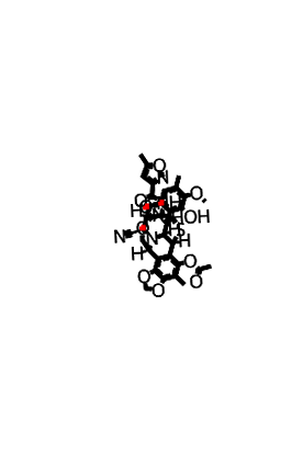 COc1c(C)cc2c(c1O)[C@@H]1[C@@H]3[C@@H]4SCC(NC(=O)c5cc(C)on5)C(=O)OC[C@@H](c5c6c(c(C)c(OC(C)=O)c54)OCO6)N3[C@@H](C#N)[C@H](C2)N1C